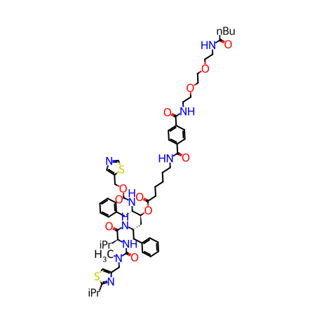 CCCCC(=O)NCCOCCOCCNC(=O)c1ccc(C(=O)NCCCCCC(=O)O[C@@H](C[C@H](Cc2ccccc2)NC(=O)[C@@H](NC(=O)N(C)Cc2csc(C(C)C)n2)C(C)C)[C@H](Cc2ccccc2)NC(=O)OCc2cncs2)cc1